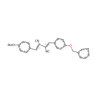 [C-]#[N+]C(=C\c1ccc(OC)cc1)/C(=C/c1ccc(OCc2ccccc2)cc1)[N+]#[C-]